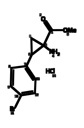 COC(=O)C1(N)CC1c1ccc(Br)cc1.Cl